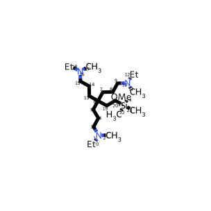 CCN(C)CCCC(CCCN(C)CC)(CCCN(C)CC)CC[Si](C)(C)OC